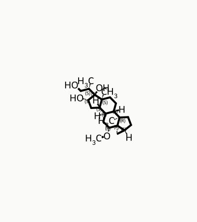 CO[C@@H]1C[C@H]2[C@@H]3C[C@H](O)[C@](O)([C@@H](C)CO)[C@@]3(C)CC[C@@H]2[C@@]2(C)CC[C@H]3C[C@]312